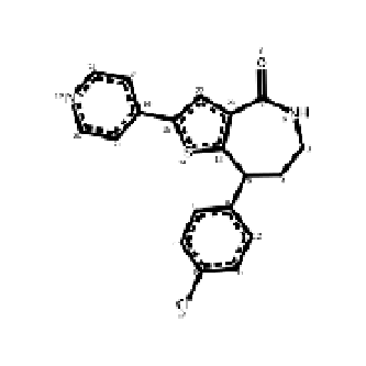 O=C1NCCC(c2ccc(Cl)cc2)c2sc(-c3ccncc3)cc21